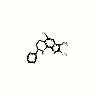 Cc1nc2c3c(c(Br)cn2c1C)CCC(c1ccccc1)N3